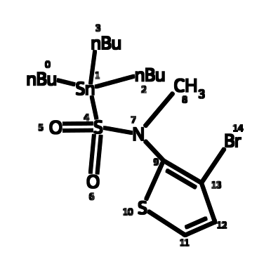 CCC[CH2][Sn]([CH2]CCC)([CH2]CCC)[S](=O)(=O)N(C)c1sccc1Br